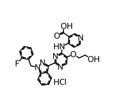 Cl.O=C(O)c1cnccc1Nc1nc(-c2nn(Cc3ccccc3F)c3ccccc23)ncc1OCCO